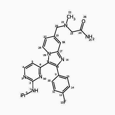 CC(C)Nc1nccc(-c2c(-c3ccc(F)cc3)nc3cc(CN(C)CC(N)=O)ccn23)n1